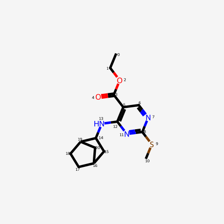 CCOC(=O)c1cnc(SC)nc1NC1CC2CCC1C2